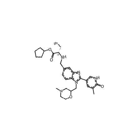 Cc1cc(-c2nc3cc(CN[C@@H](CC(C)C)C(=O)OC4CCCC4)ccc3n2CC2CN(C)CCO2)c[nH]c1=O